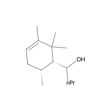 CCCC(O)[C@@H]1[C@H](C)CC=C(C)C1(C)C